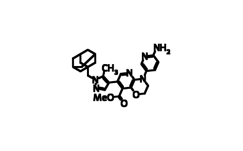 COC(=O)c1c(-c2cnn(CC34CC5CC(CC(C5)C3)C4)c2C)cnc2c1OCCN2c1ccc(N)nc1